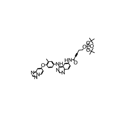 Cc1cc(Nc2ncnc3ccc(NC(=O)C#CCCOP(=O)(OC(C)(C)C)OC(C)(C)C)cc23)ccc1Oc1ccn2ncnc2c1